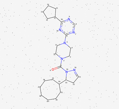 O=C(N1CCN(c2ncnc(C3CCCC3)n2)CC1)N1N=CCC1C1CCCCCCC1